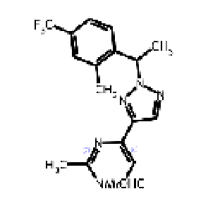 CN/C(C)=N\C(=C/C=O)c1cnn(C(C)c2ccc(C(F)(F)F)cc2C)n1